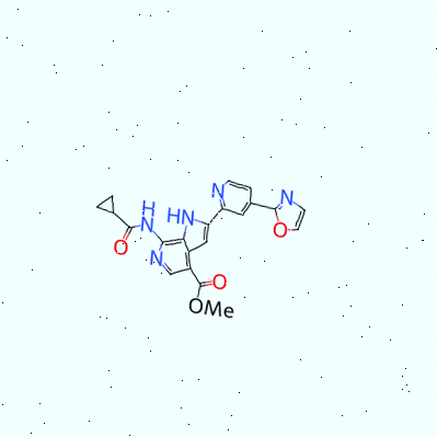 COC(=O)c1cnc(NC(=O)C2CC2)c2[nH]c(-c3cc(-c4ncco4)ccn3)cc12